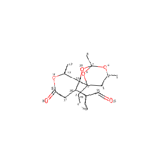 CCC12CC(C)OC(C)(O1)OC21C(C)OC(=O)CC1C(C)C=O